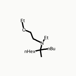 CCCCCCC(C)(CCCC)N(CC)CCOCC